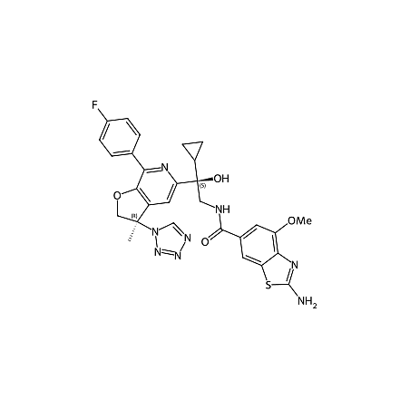 COc1cc(C(=O)NC[C@](O)(c2cc3c(c(-c4ccc(F)cc4)n2)OC[C@]3(C)n2cnnn2)C2CC2)cc2sc(N)nc12